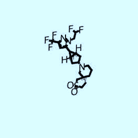 O=S1(=O)CC[C@]2(CCCN(C3C[C@@H]4C(c5cc(C(F)(F)F)nn5CC(F)F)[C@@H]4C3)C2)C1